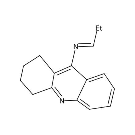 CCC=Nc1c2c(nc3ccccc13)CCCC2